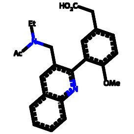 CCN(Cc1cc2ccccc2nc1-c1cc(CC(=O)O)ccc1OC)C(C)=O